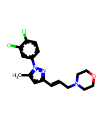 Cc1cc(/C=C/CN2CCOCC2)nn1-c1ccc(Cl)c(Cl)c1